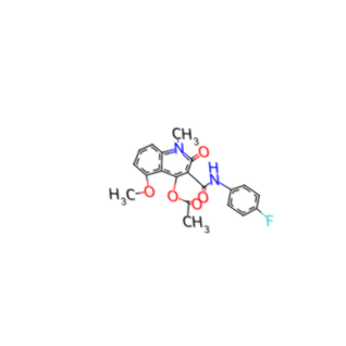 COc1cccc2c1c(OC(C)=O)c(C(=O)Nc1ccc(F)cc1)c(=O)n2C